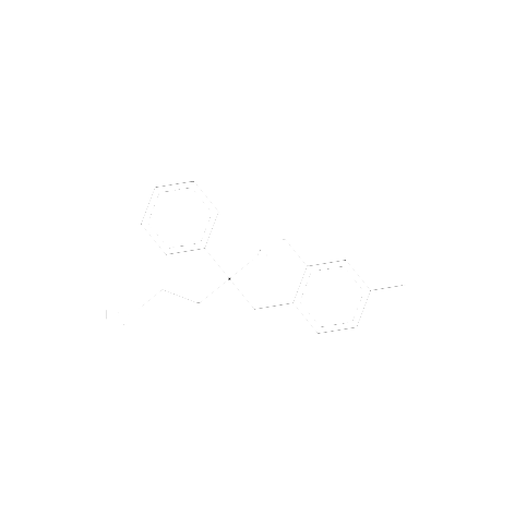 CC(=O)C(CCC(=O)O)(Cc1ccc(Cl)cc1Cl)c1ccccc1